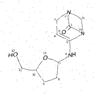 O=C1N2CC=C(NC3CCC(CO)O3)N1C2